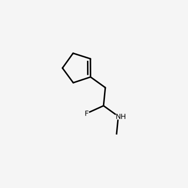 CNC(F)CC1=CCCC1